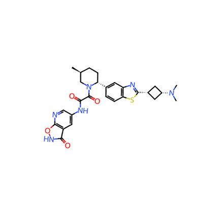 C[C@H]1CC[C@H](c2ccc3sc([C@H]4C[C@@H](N(C)C)C4)nc3c2)N(C(=O)C(=O)Nc2cnc3o[nH]c(=O)c3c2)C1